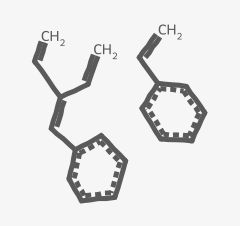 C=CC(C=C)=Cc1ccccc1.C=Cc1ccccc1